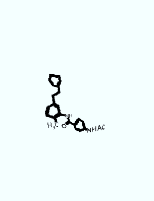 CC(=O)Nc1ccc(C(=O)Nc2cc(CCc3ccccc3)ccc2C)cc1